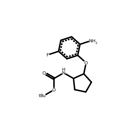 CC(C)(C)OC(=O)NC1CCCC1Oc1cc(F)ccc1N